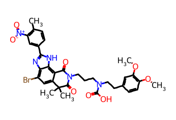 COc1ccc(CCN(CCCN2C(=O)c3c(cc(Br)c4nc(-c5ccc(C)c([N+](=O)[O-])c5)[nH]c34)C(C)(C)C2=O)C(=O)O)cc1OC